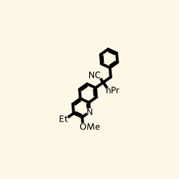 CCCC(C#N)(Cc1ccccc1)c1ccc2cc(CC)c(OC)nc2c1